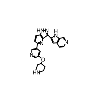 c1cc2cc(-c3n[nH]c4ccc(-c5cncc(OC6CCNCC6)c5)nc34)[nH]c2cn1